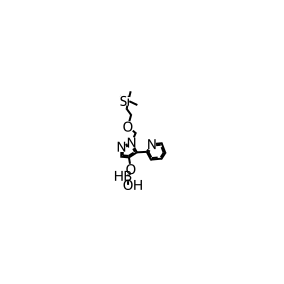 C[Si](C)(C)CCOCn1ncc(OBO)c1-c1ccccn1